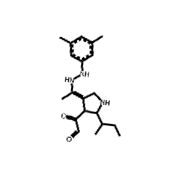 CCC(C)C1NCC(=C(C)NNc2cc(C)cc(C)c2)C1C(=O)C=O